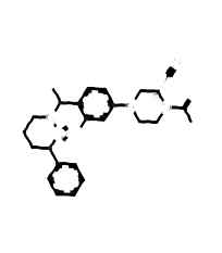 CC(=O)N1CCN(c2ccc(C(C)N3CCCC(c4ccccc4)S3(=O)=O)c(F)c2)C[C@H]1C#N